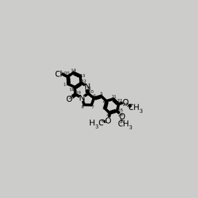 COc1cc(C=C2CCn3c2nc2ccc(Cl)cc2c3=O)cc(OC)c1OC